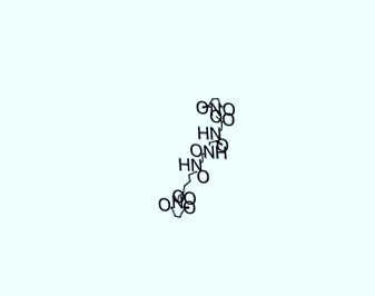 O=C(CCCC(=O)ON1C(=O)CCC1=O)NCC(=O)NCC(=O)NCC(=O)ON1C(=O)CCC1=O